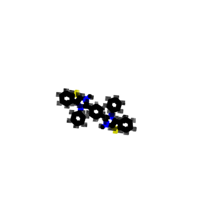 CN1B(c2ccc(B3N(C)c4sc5ccccc5c4N3c3ccccc3)cc2)N(c2ccccc2)c2c1sc1ccccc21